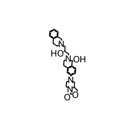 O=C1OCC2CN(c3ccc4c(c3)CCN(C[C@H](O)CN3CCc5ccccc5C3)C4O)CCN12